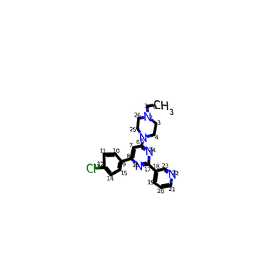 CCN1CCN(c2cc(-c3ccc(Cl)cc3)nc(-c3cccnc3)n2)CC1